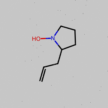 C=CCC1CCCN1O